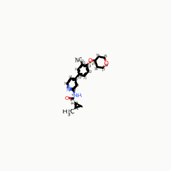 C[C@@H]1C[C@H]1C(=O)Nc1cc(-c2ccc(OC3CCOCC3)c(C#N)c2)ccn1